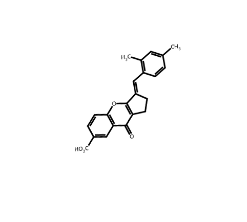 Cc1ccc(C=C2CCc3c2oc2ccc(C(=O)O)cc2c3=O)c(C)c1